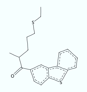 CCSCCCC(C)C(=O)c1ccc2sc3ccccc3c2c1